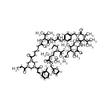 C=CC(=O)N1CN(C(=O)C=C)CN(C(=O)CCSCC(=O)NC(C(=O)NCC(=O)Nc2ccc(COC(=O)N(C)C(C(=O)NCC(=O)N(C)C(C(C)CC)[C@@H](CC(=O)N3CCC[C@H]3[C@H](OC)[C@@H](C)C(=O)N[C@@H](Cc3ccccc3)c3nccs3)OC)C(C)C)cc2)C(C)C)C1